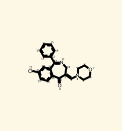 O=C1/C(=C/N2CCOCC2)CN=C(c2ccccc2)c2cc(Cl)ccc21